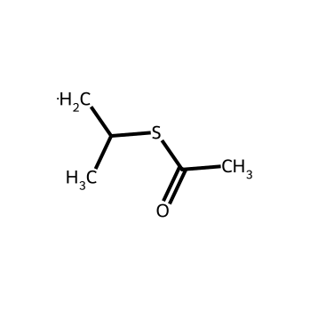 [CH2]C(C)SC(C)=O